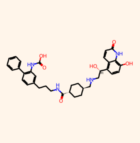 O=C(O)Nc1cc(CCCNC(=O)[C@H]2CC[C@H](CNC[C@H](O)c3ccc(O)c4[nH]c(=O)ccc34)CC2)ccc1-c1ccccc1